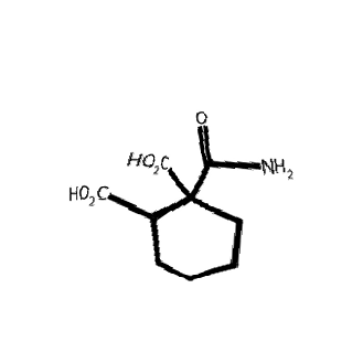 NC(=O)C1(C(=O)O)CCCCC1C(=O)O